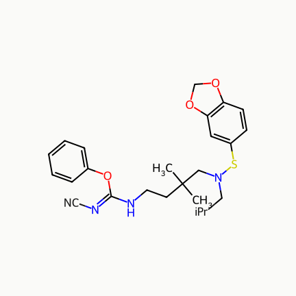 CC(C)CN(CC(C)(C)CCN/C(=N/C#N)Oc1ccccc1)Sc1ccc2c(c1)OCO2